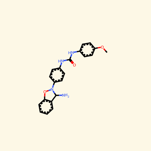 COc1ccc(NC(=O)Nc2ccc(N3Oc4ccccc4C3N)cc2)cc1